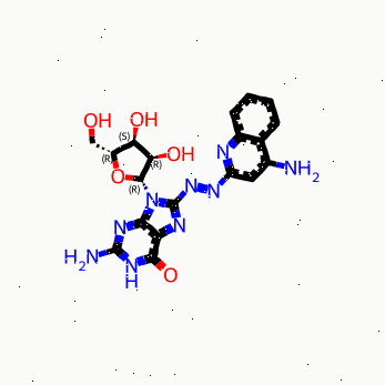 Nc1nc2c(nc(N=Nc3cc(N)c4ccccc4n3)n2[C@@H]2O[C@H](CO)[C@@H](O)[C@H]2O)c(=O)[nH]1